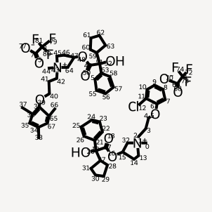 C[N+]1(CCCOc2ccccc2Cl)CCC(OC(=O)C(O)(c2ccccc2)C2CCCC2)C1.Cc1cc(C)c(OCCC[N+]2(C)CCC(OC(=O)C(O)(c3ccccc3)C3CCCC3)C2)c(C)c1.O=C([O-])C(F)(F)F.O=C([O-])C(F)(F)F